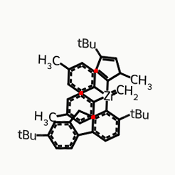 [CH2]=[Zr]([C]1=CC(C(C)(C)C)=CC1C)([c]1ccc(C)cc1)([c]1ccc(C)cc1)[c]1c(C(C)(C)C)ccc2c1Cc1cc(C(C)(C)C)ccc1-2